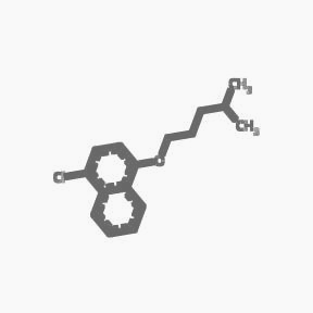 CC(C)CCCOc1ccc(Cl)c2ccccc12